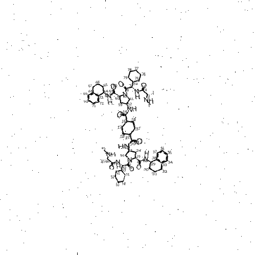 CN[C@@H](C)C(=O)N[C@H](C(=O)N1C[C@@H](NC(=O)C2CCC(C(=O)N[C@H]3C[C@@H](C(=O)N[C@@H]4CCCc5ccccc54)N(C(=O)[C@@H](NC(=O)[C@H](C)NC)C4CCCCC4)C3)CC2)C[C@H]1C(=O)N[C@@H]1CCCc2ccccc21)C1CCCCC1